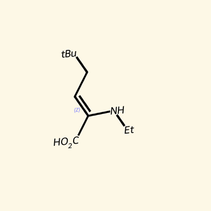 CCN/C(=C\CC(C)(C)C)C(=O)O